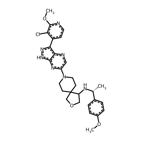 COc1ccc([C@@H](C)NC2COCC23CCN(c2cnc4c(-c5ccnc(OC)c5Cl)n[nH]c4n2)CC3)cc1